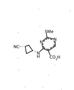 CSc1ncc(C(=O)O)c(N[C@H]2C[C@@H](C#N)C2)n1